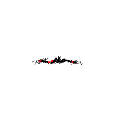 C=CC(=O)OCC(O)CCCCCCOc1ccc(C(=O)Oc2ccc(OC(=O)c3ccc(OCCCCCCC(O)COC(=O)C=C)cc3)c(C#N)c2C#N)cc1